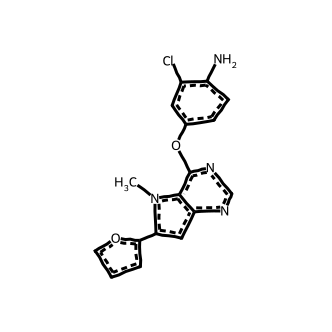 Cn1c(-c2ccco2)cc2ncnc(Oc3ccc(N)c(Cl)c3)c21